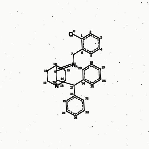 Clc1ccccc1C/N=C1\C2CCN(CC2)C1C(c1ccccc1)c1ccccc1